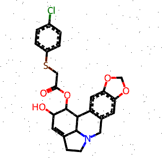 O=C(CSc1ccc(Cl)cc1)OC1C(O)C=C2CCN3Cc4cc5c(cc4C1C23)OCO5